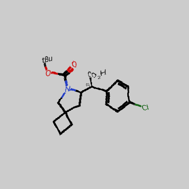 CC(C)(C)OC(=O)N1CC2(CCC2)CC1[C@@H](C(=O)O)c1ccc(Cl)cc1